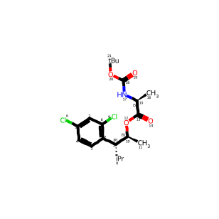 CC(C)[C@H](c1ccc(Cl)cc1Cl)[C@H](C)OC(=O)[C@H](C)NC(=O)OC(C)(C)C